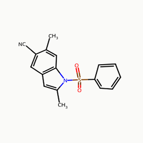 Cc1cc2c(cc1C#N)cc(C)n2S(=O)(=O)c1ccccc1